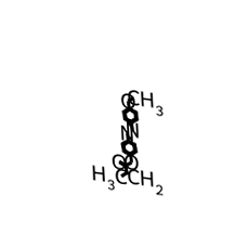 C=C(C)C(=O)Oc1ccc(N=Nc2ccc(OC)cc2)cc1